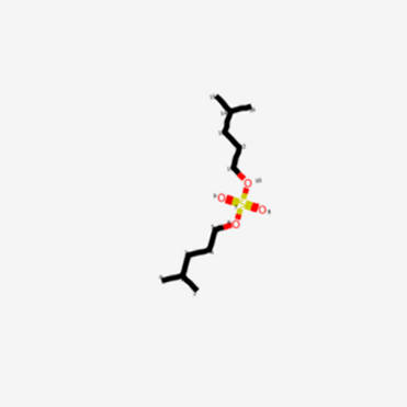 CC(C)CCCOS(=O)(=O)OCCCC(C)C